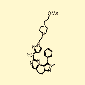 COCCN1CCN(CCn2ccc(Nc3ncc4c(n3)-c3c(nn(C)c3-c3ccccc3)CC4)n2)CC1